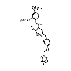 COc1ccc(CNC(CCCc2ccc(OC[C@H]3COC(C)(C)O3)cc2)C(N)=O)c(OC)c1